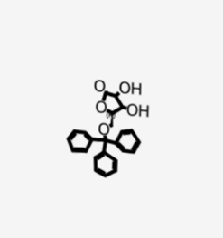 O=C1O[C@H](COC(c2ccccc2)(c2ccccc2)c2ccccc2)C(O)C1O